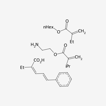 C=C(C(=O)OCCN)C(C)C.C=C(CC)C(=O)OCCCCCC.CCC(=CC=Cc1ccccc1)C(=O)O